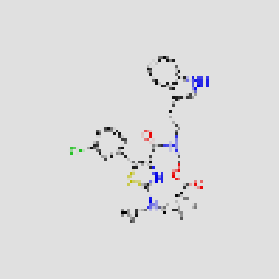 CC(=O)OCN(CCc1c[nH]c2ccccc12)C(=O)c1nc(N(C)C)sc1-c1cccc(Cl)c1